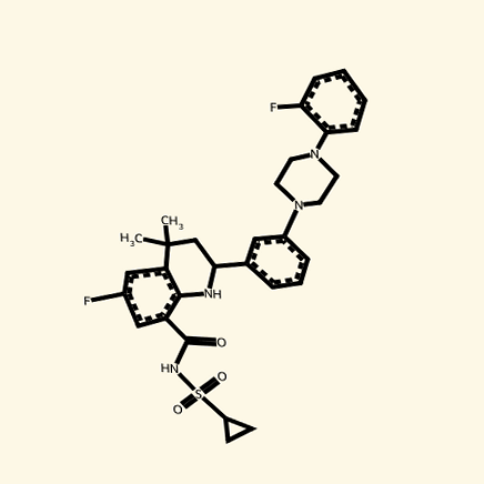 CC1(C)CC(c2cccc(N3CCN(c4ccccc4F)CC3)c2)Nc2c(C(=O)NS(=O)(=O)C3CC3)cc(F)cc21